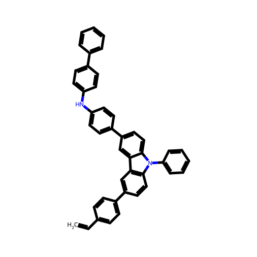 C=Cc1ccc(-c2ccc3c(c2)c2cc(-c4ccc(Nc5ccc(-c6ccccc6)cc5)cc4)ccc2n3-c2ccccc2)cc1